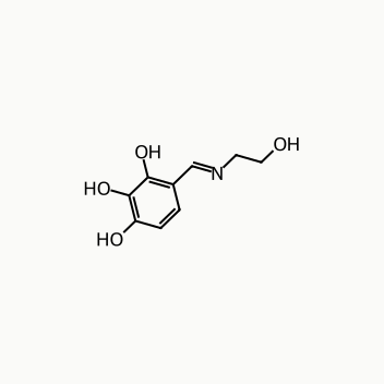 OCC/N=C/c1ccc(O)c(O)c1O